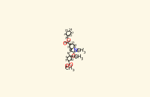 COC(=O)c1ccc(Cc2cn(C)c3ccc(C(=O)OCc4ccccc4)cc23)c(OC)c1